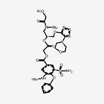 CCCCNc1cc(C(=O)OCC(=O)O[C@H](COc2nsnc2N2CCOCC2)CN(C(=O)COC(C)=O)C(C)(C)C)cc(S(N)(=O)=O)c1Oc1ccccc1